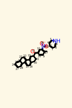 C1=CC=CNC=C1.Cc1ccc(C(=O)C2C=c3c(ccc4c3=CCc3ccccc3-4)CC2)cc1[N+](=O)[O-]